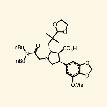 CCCCN(CCCC)C(=O)CN1C[C@H](c2cc(OC)c3c(c2)OCO3)[C@H](C(=O)O)[C@H]1CC(C)(C)C1OCCO1